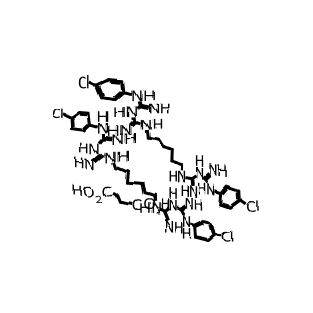 N=C(NCCCCCCNC(=N)NC(=N)Nc1ccc(Cl)cc1)NC(=N)Nc1ccc(Cl)cc1.N=C(NCCCCCCNC(=N)NC(=N)Nc1ccc(Cl)cc1)NC(=N)Nc1ccc(Cl)cc1.O=C(O)CCC(=O)O